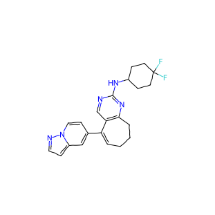 FC1(F)CCC(Nc2ncc3c(n2)CCCC=C3c2ccn3nccc3c2)CC1